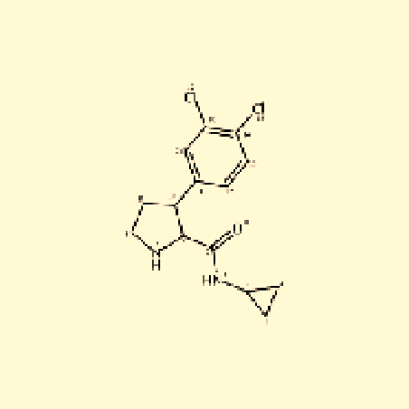 O=C(NC1CC1)C1NCCC1c1ccc(Cl)c(Cl)c1